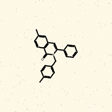 Cc1ccc(Cn2c(-c3ccccc3)cc3cc(C)ccc3c2=O)cc1